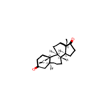 CC[C@]12CCC(=O)C[C@@H]1CC[C@@H]1[C@@H]2CC[C@]2(C)C(=O)CC[C@@H]12